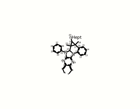 C/C=c1/nc2c(n/c1=C/C)N1c3ccccc3C3(C)C(CCCCCCC)C3(C)C1N2c1ccccc1